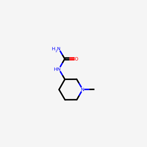 CN1CCCC(NC(N)=O)C1